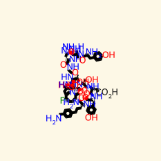 C=C1/C=C\C=C(\F)C2=C[N+]1([C@H](C(=O)N[C@@H](CO)C(=O)N[C@@H](CC(=O)O)C(=O)N[C@@H](Cc1ccc(O)cc1)C(=O)N[C@@H](CCCc1ccc(CN)cc1)C(N)=O)[C@@H](C)O)C(=O)C(C)(NC(=O)[C@@H](NC(=O)CNC(=O)[C@H](C/C(N=N)=N/N)NC(=O)C(C)(C)NC(=O)[C@@H](N)Cc1ccc(O)cc1)[C@@H](C)O)C2